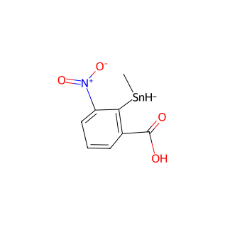 [CH3][SnH]([CH3])[c]1c(C(=O)O)cccc1[N+](=O)[O-]